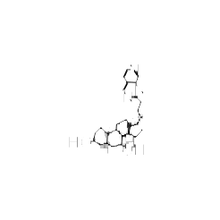 C[C@H](CCc1ncc2ccncc2n1)[C@H]1CC[C@H]2[C@H]3C(CC[C@]12C)[C@@]1(C)CC[C@@H](O)C[C@H]1C[C@@H]3O